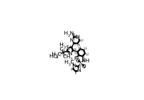 Cl.Cn1ccnc1S(=O)(=O)Nc1cccc(-c2nc(C(C)(C)C)sc2-c2ccnc(N)n2)c1F